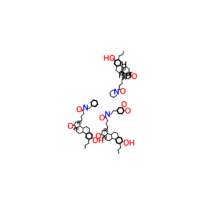 CCCc1cc2c(cc1O)CCC1C2CC[C@]2(C)C(=O)C[C@@H](CCCC(=O)N(C)CCc3ccc(OC)c(OC)c3)C12.CCCc1cc2c(cc1O)CCC1C2CC[C@]2(C)C(=O)C[C@@H](CCCC(=O)N(C)Cc3ccccc3)C12.CCCc1cc2c(cc1O)CC[C@H]1[C@@H]3[C@H](CCCC(=O)N4CCCCC4)CC(=O)[C@@]3(C)CC[C@H]21